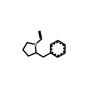 C=CN1CCCC1Cc1ccccc1